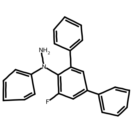 NN(c1ccccc1)c1c(F)cc(-c2ccccc2)cc1-c1ccccc1